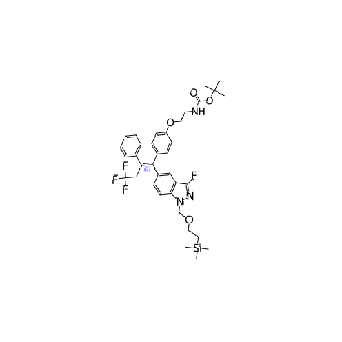 CC(C)(C)OC(=O)NCCOc1ccc(/C(=C(/CC(F)(F)F)c2ccccc2)c2ccc3c(c2)c(F)nn3COCC[Si](C)(C)C)cc1